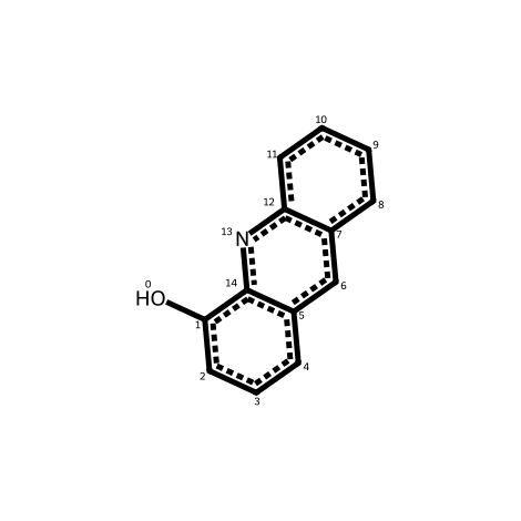 Oc1cccc2cc3ccccc3nc12